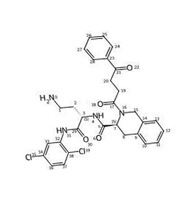 NCC[C@H](NC(=O)[C@@H]1Cc2ccccc2CN1C(=O)CCC(=O)c1ccccc1)C(=O)Nc1cc(Cl)ccc1Cl